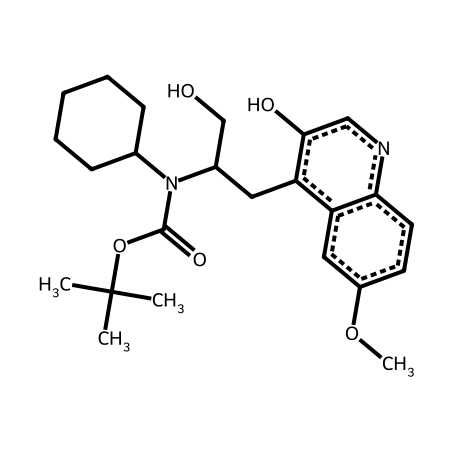 COc1ccc2ncc(O)c(CC(CO)N(C(=O)OC(C)(C)C)C3CCCCC3)c2c1